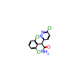 NC(=O)C(c1ccc(Cl)nn1)c1c(Cl)cccc1Cl